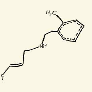 Cc1ccccc1CNCC=CF